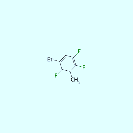 CCC1=CC(F)=C(F)C(C)C1F